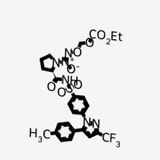 CCOC(=O)OCON=[N+]([O-])N1CCC[C@H]1C(=O)NS(=O)(=O)c1ccc(-n2nc(C(F)(F)F)cc2-c2ccc(C)cc2)cc1